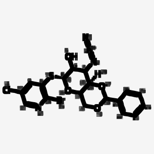 [N-]=[N+]=NC1C(O)[C@@H](Sc2cc(Cl)cnc2Br)OC2COC(c3ccccc3)O[C@@H]21